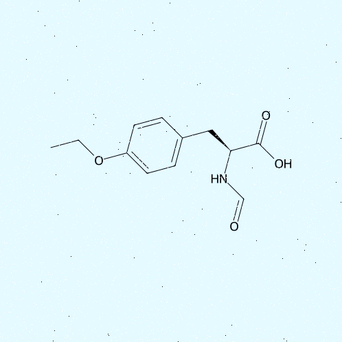 CCOc1ccc(C[C@H](NC=O)C(=O)O)cc1